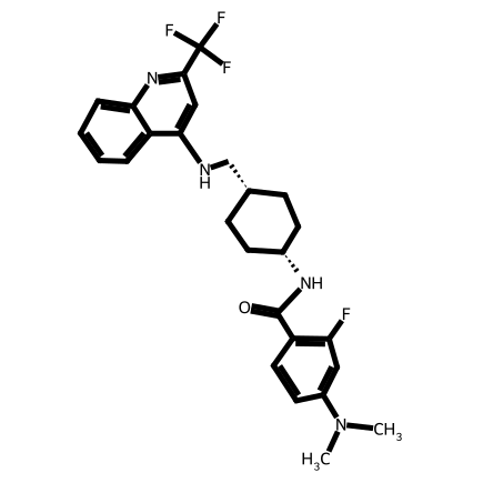 CN(C)c1ccc(C(=O)N[C@H]2CC[C@@H](CNc3cc(C(F)(F)F)nc4ccccc34)CC2)c(F)c1